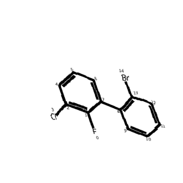 Fc1c(Cl)cccc1-c1ccc[c]c1Br